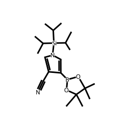 CC(C)[Si](C(C)C)(C(C)C)n1cc(C#N)c(B2OC(C)(C)C(C)(C)O2)c1